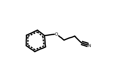 N#C[CH]COc1ccccc1